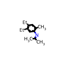 CCc1cc(C)c(N=C(C)C)cc1CC